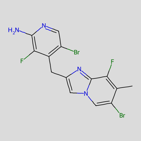 Cc1c(Br)cn2cc(Cc3c(Br)cnc(N)c3F)nc2c1F